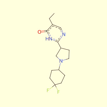 CCc1cnc(C2CCN(C3CCC(F)(F)CC3)C2)[nH]c1=O